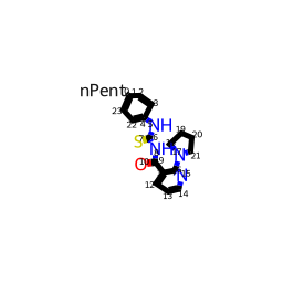 CCCCCc1ccc(NC(=S)NC(=O)c2cccnc2N2CCCC2)cc1